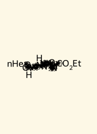 CCCCCCOC(=O)NN=Cc1ccc(NCc2nc3cc(C(=O)c4cccnc4NCCC(=O)OCC)ccc3n2C)cc1